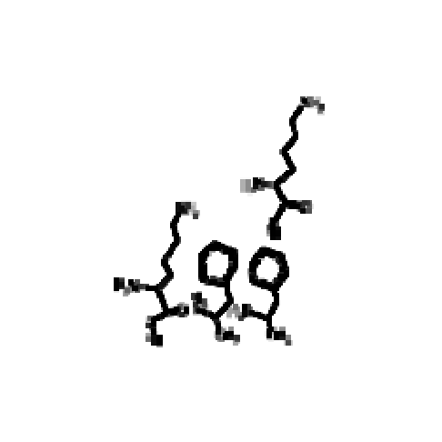 CC(N)Cc1ccccc1.CC(N)Cc1ccccc1.[2H]OC(=O)C(N)CCCCN.[2H]OC(=O)C(N)CCCCN